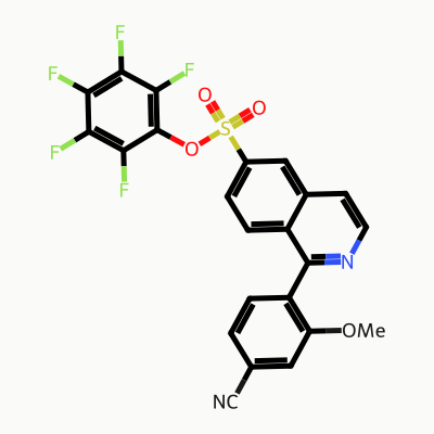 COc1cc(C#N)ccc1-c1nccc2cc(S(=O)(=O)Oc3c(F)c(F)c(F)c(F)c3F)ccc12